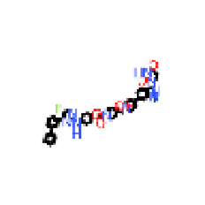 Cn1nc(N2CCC(=O)NC2=O)c2ccc(C3CCN(CC4(O)CCN(C(=O)O[C@H]5CC[C@H](Nc6ncc(F)c(-c7cccc(-c8ccccc8)c7)n6)CC5)CC4)CC3)cc21